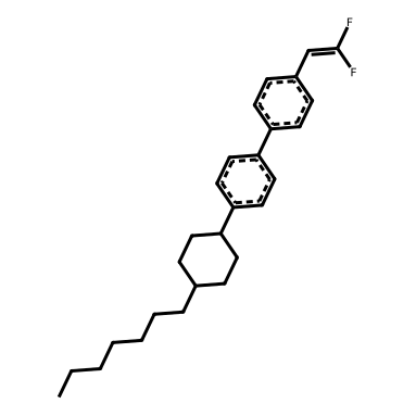 CCCCCCCC1CCC(c2ccc(-c3ccc(C=C(F)F)cc3)cc2)CC1